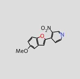 COc1ccc2oc(-c3ccncc3[N+](=O)[O-])cc2c1